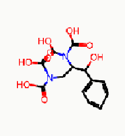 O=C(O)N(CC(C(O)c1ccccc1)N(C(=O)O)C(=O)O)C(=O)O